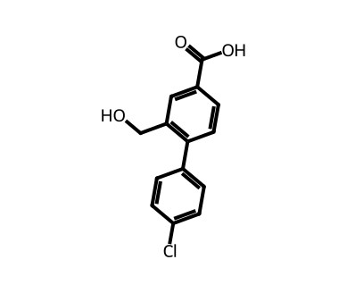 O=C(O)c1ccc(-c2ccc(Cl)cc2)c(CO)c1